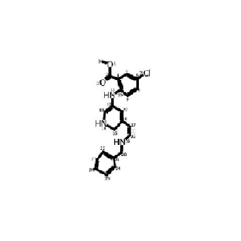 COC(=O)c1cc(Cl)ccc1NC1=CNCC(/C=C\NCc2ccccc2)=C1